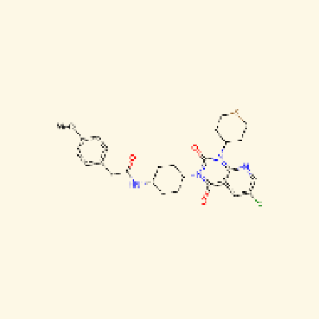 COc1ccc(CC(=O)N[C@H]2CC[C@@H](n3c(=O)c4cc(F)cnc4n(C4CCSCC4)c3=O)CC2)cc1